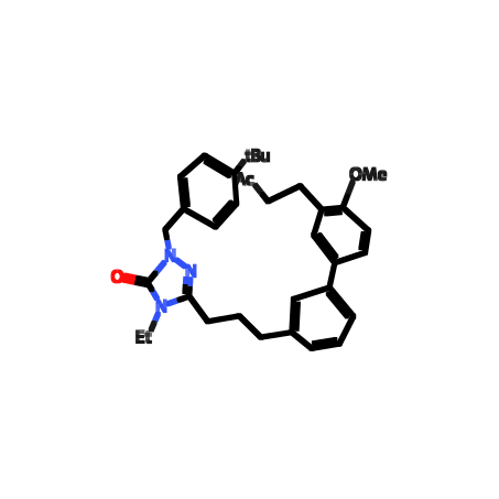 CCn1c(CCCc2cccc(-c3ccc(OC)c(CCC(C)=O)c3)c2)nn(Cc2ccc(C(C)(C)C)cc2)c1=O